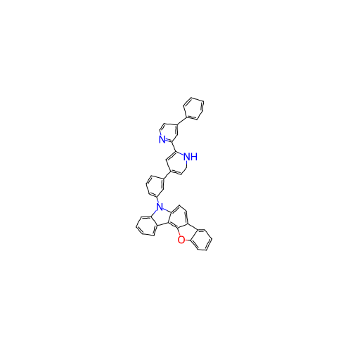 C1=C(c2cccc(-n3c4ccccc4c4c5oc6ccccc6c5ccc43)c2)C=C(c2cc(-c3ccccc3)ccn2)NC1